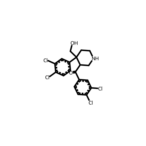 O=C(c1ccc(Cl)c(Cl)c1)C1CNCCC1(CO)c1ccc(Cl)c(Cl)c1